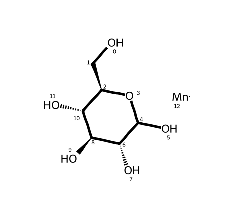 OC[C@H]1OC(O)[C@H](O)[C@@H](O)[C@@H]1O.[Mn]